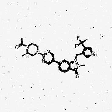 CC(=O)N1CCN(c2ncc(-c3ccc4c(=O)n(C)n(Cc5c[nH]cc5C(F)(F)F)c4c3)cn2)C[C@H]1C